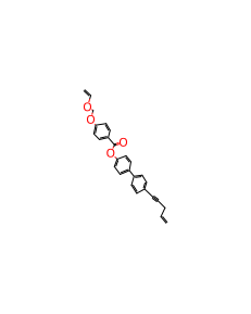 C=CCC#Cc1ccc(-c2ccc(OC(=O)c3ccc(OCOC=C)cc3)cc2)cc1